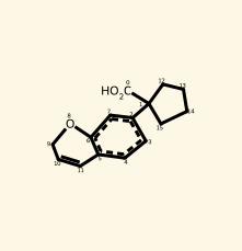 O=C(O)C1(c2ccc3c(c2)OCC=C3)CCCC1